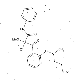 CCCCCCCCCCCCC(C)Oc1ccccc1C(=O)C(Cl)(OC)C(=O)Nc1ccccc1